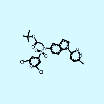 Cc1ccc(-n2ccc3cc(N(CC(=O)OC(C)(C)C)S(=O)(=O)c4cc(Cl)nc(Cl)c4)ccc32)nn1